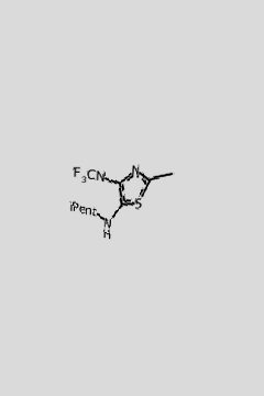 CCCC(C)Nc1sc(C)nc1NC(F)(F)F